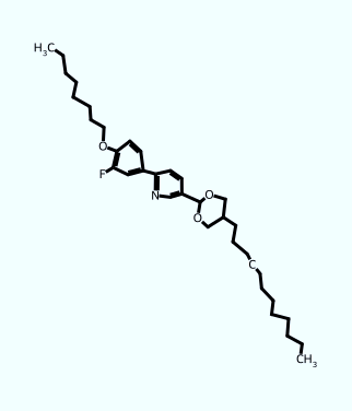 CCCCCCCCCCCCC1COC(c2ccc(-c3ccc(OCCCCCCCC)c(F)c3)nc2)OC1